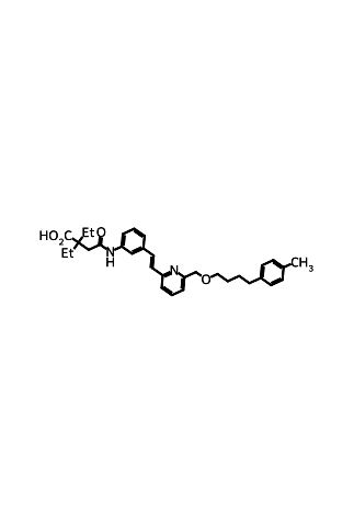 CCC(CC)(CC(=O)Nc1cccc(C=Cc2cccc(COCCCCc3ccc(C)cc3)n2)c1)C(=O)O